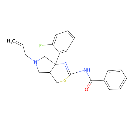 C=CCN1CC2CSC(NC(=O)c3ccccc3)=NC2(c2ccccc2F)C1